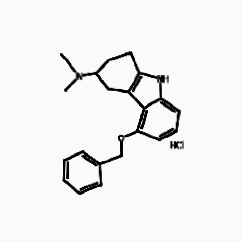 CN(C)C1CCc2[nH]c3cccc(OCc4ccccc4)c3c2C1.Cl